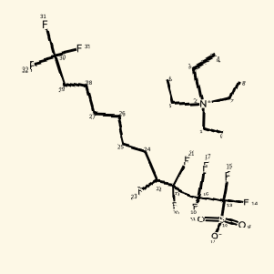 CC[N+](CC)(CC)CC.O=S(=O)([O-])C(F)(F)C(F)(F)C(F)(F)C(F)CCCCCCC(F)(F)F